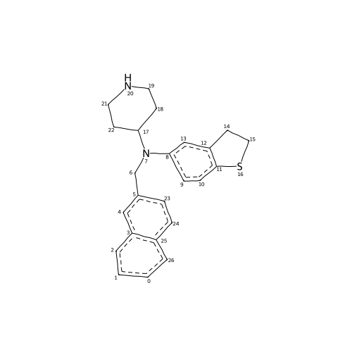 c1ccc2cc(CN(c3ccc4c(c3)CCS4)C3CCNCC3)ccc2c1